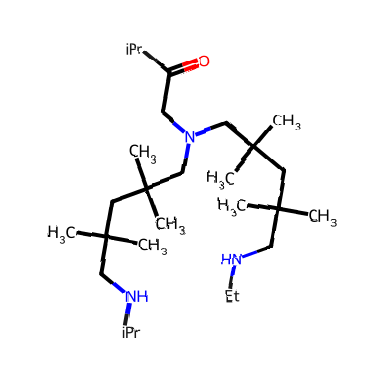 CCNCC(C)(C)CC(C)(C)CN(CC(=O)C(C)C)CC(C)(C)CC(C)(C)CNC(C)C